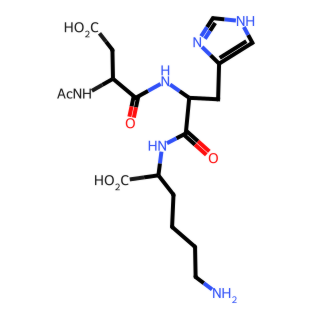 CC(=O)NC(CC(=O)O)C(=O)NC(Cc1c[nH]cn1)C(=O)NC(CCCCN)C(=O)O